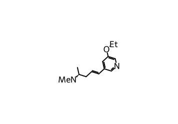 CCOc1cncc(/C=C/C[C@H](C)NC)c1